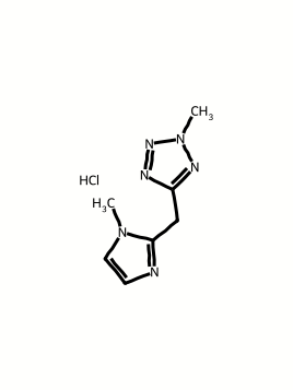 Cl.Cn1nnc(Cc2nccn2C)n1